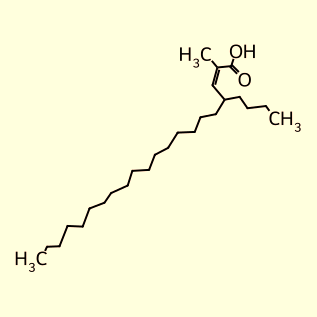 CCCCCCCCCCCCCCCCCC(C=C(C)C(=O)O)CCCC